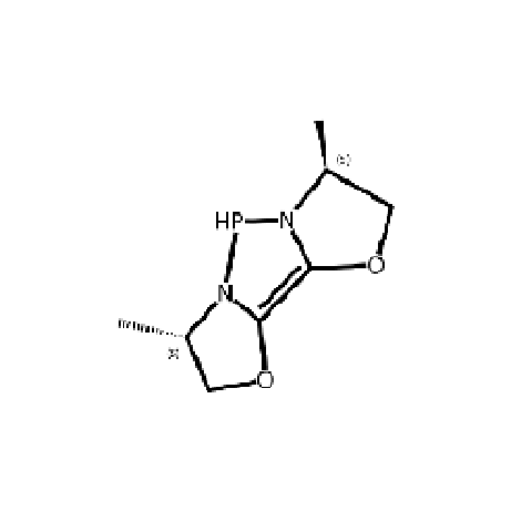 C[C@H]1COC2=C3OC[C@H](C)N3PN21